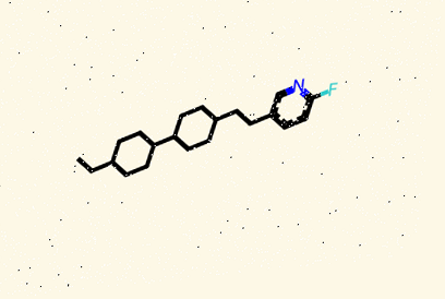 CCC1CCC(C2CCC(CCc3ccc(F)nc3)CC2)CC1